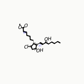 CCCCC[C@H](O)/C=C/[C@@H]1[C@@H](CCCC/C=C/C(=O)OC)[C@H](Cl)C[C@H]1O